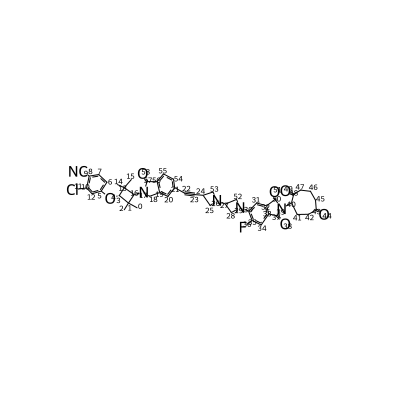 CC1(C)[C@H](Oc2ccc(C#N)c(Cl)c2)C(C)(C)[C@H]1N1Cc2cc(C#CC3CN(C4CN(c5cc6c(cc5F)C(=O)N(C5CCC(=O)CCCC5=O)C6=O)C4)C3)ccc2C1=O